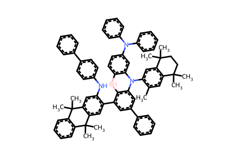 Cc1cc2c(cc1N1c3cc(N(c4ccccc4)c4ccccc4)ccc3Bc3c(-c4cc5c(cc4Nc4ccc(-c6ccccc6)cc4)C(C)(C)c4ccccc4C5(C)C)cc(-c4ccccc4)cc31)C(C)(C)CCC2(C)C